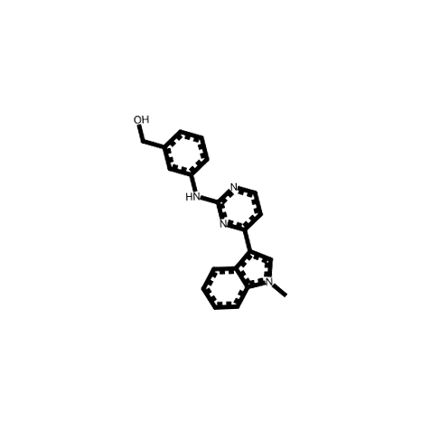 Cn1cc(-c2ccnc(Nc3cccc(CO)c3)n2)c2ccccc21